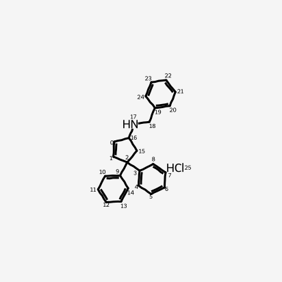 C1=CC(c2ccccc2)(c2ccccc2)CC1NCc1ccccc1.Cl